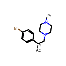 CC(=O)[C@H](CN1CCN(C(C)C)CC1)c1ccc(Br)cc1